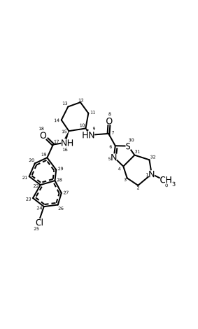 CN1CCC2N=C(C(=O)N[C@@H]3CCCC[C@@H]3NC(=O)c3ccc4cc(Cl)ccc4c3)SC2C1